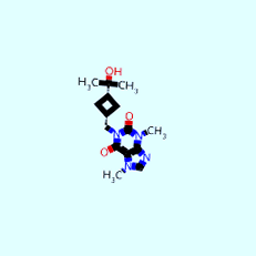 Cn1cnc2c1c(=O)n(C[C@H]1C[C@@H](C(C)(C)O)C1)c(=O)n2C